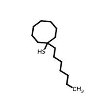 CCCCCCCC1(S)CCCCCCC1